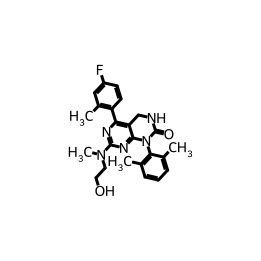 Cc1cc(F)ccc1-c1nc(N(C)CCO)nc2c1CNC(=O)N2c1c(C)cccc1C